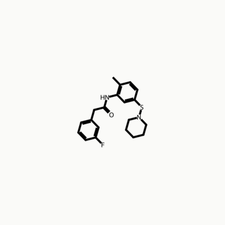 Cc1ccc(SN2CCCCC2)cc1NC(=O)Cc1cccc(F)c1